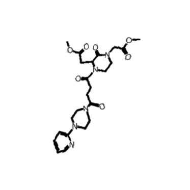 COC(=O)CC1C(=O)N(CC(=O)OC)CCN1C(=O)CCC(=O)N1CCN(c2ccccn2)CC1